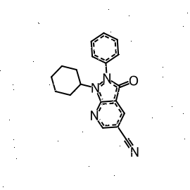 N#Cc1cnc2c(c1)c(=O)n(-c1ccccc1)n2C1CCCCC1